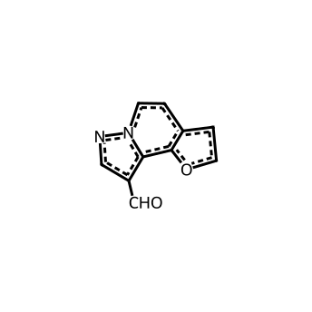 O=Cc1cnn2ccc3ccoc3c12